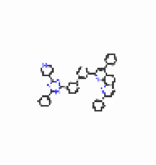 c1ccc(-c2ccc3ccc4c(-c5ccccc5)cc(-c5cccc(-c6cccc(-c7nc(-c8ccccc8)nc(-c8ccncc8)n7)c6)c5)nc4c3n2)cc1